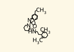 CCc1ccc2oc(N3CCCC[C@H]3C(=O)NCCC3[C@H](C)CCC[C@@H]3C)nc2c1